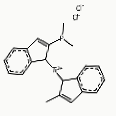 CC1=Cc2ccccc2[CH]1[Ti+2][CH]1C(P(C)C)=Cc2ccccc21.[Cl-].[Cl-]